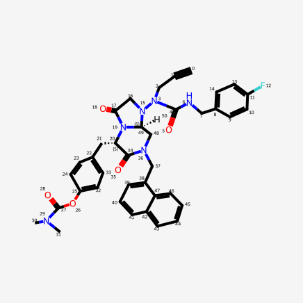 C#CCN(C(=O)NCc1ccc(F)cc1)N1CC(=O)N2[C@@H](Cc3ccc(OC(=O)N(C)C)cc3)C(=O)N(Cc3cccc4ccccc34)C[C@@H]21